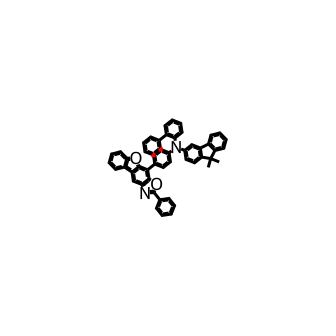 CC1(C)c2ccccc2-c2cc(N(c3ccc(-c4c5oc(-c6ccccc6)nc5cc5c4oc4ccccc45)cc3)c3ccccc3-c3ccccc3)ccc21